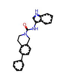 O=C(Nc1c[nH]c2ccccc12)N1CCc2cc(-c3ccccc3)ccc2C1